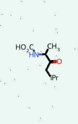 CC(C)CC(=O)C(C)NC(=O)O